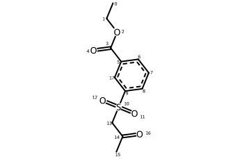 CCOC(=O)c1cccc(S(=O)(=O)CC(C)=O)c1